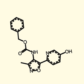 Cc1noc(-c2ccc(O)cn2)c1NC(=O)OCc1ccccc1